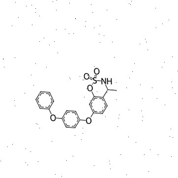 CC1NS(=O)(=O)Oc2cc(Oc3ccc(Oc4ccccc4)cc3)ccc21